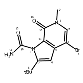 Cn1cc(Br)c2cc(C(C)(C)C)n(C(N)=O)c2c1=O